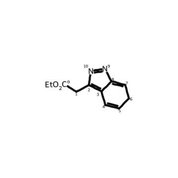 CCOC(=O)CC1=C2C=CCC=C2N=N1